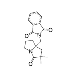 CC1(C)CC2(CN3C(=O)c4ccccc4C3=O)CCCN2C1=O